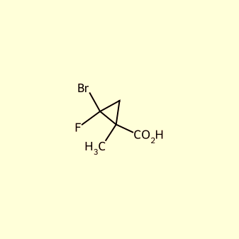 CC1(C(=O)O)CC1(F)Br